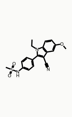 CCn1c(-c2ccc(NS(C)(=O)=O)cc2)c(C#N)c2cc(OC)ccc21